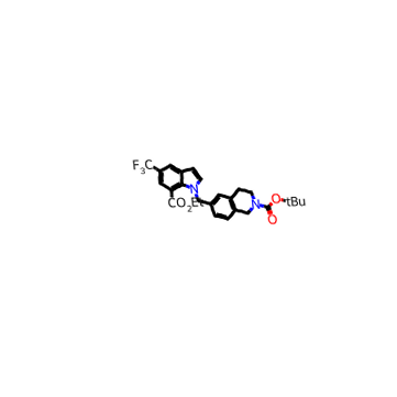 CCOC(=O)c1cc(C(F)(F)F)cc2ccn(Cc3ccc4c(c3)CCN(C(=O)OC(C)(C)C)C4)c12